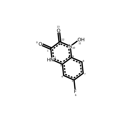 O=c1[nH]c2cc(F)ccc2n(O)c1=O